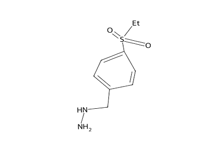 CCS(=O)(=O)c1ccc(CNN)cc1